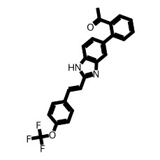 CC(=O)c1ccccc1-c1ccc2[nH]c(/C=C/c3ccc(OC(F)(F)F)cc3)nc2c1